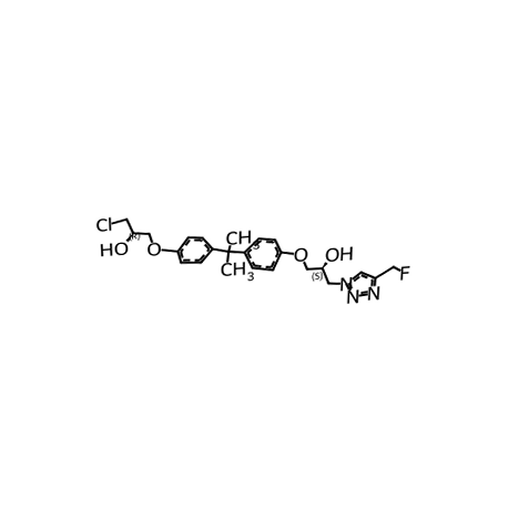 CC(C)(c1ccc(OC[C@@H](O)Cn2cc(CF)nn2)cc1)c1ccc(OC[C@@H](O)CCl)cc1